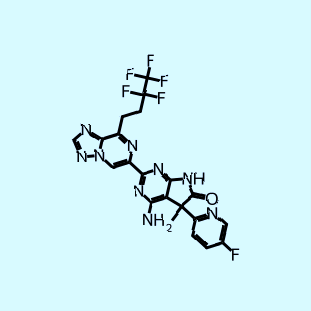 CC1(c2ccc(F)cn2)C(=O)Nc2nc(-c3cn4ncnc4c(CCC(F)(F)C(F)(F)F)n3)nc(N)c21